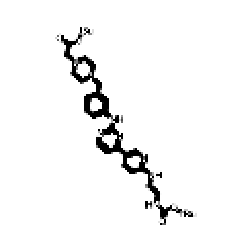 CC(C)(C)OC(=O)CN1CCN(Cc2cccc(Nc3nccc(-c4ccc(NCCNC(=O)OC(C)(C)C)nc4)n3)c2)CC1